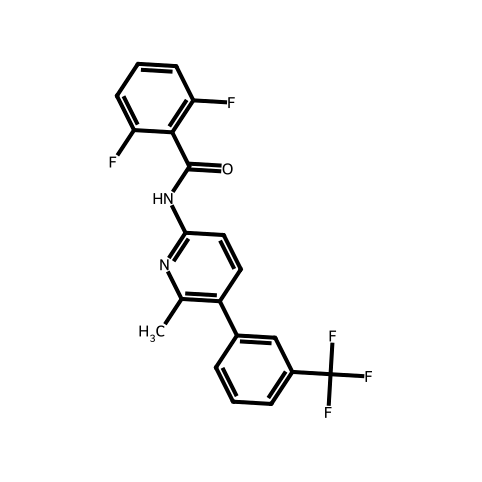 Cc1nc(NC(=O)c2c(F)cccc2F)ccc1-c1cccc(C(F)(F)F)c1